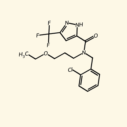 CCOCCCN(Cc1ccccc1Cl)C(=O)c1cc(C(F)(F)F)n[nH]1